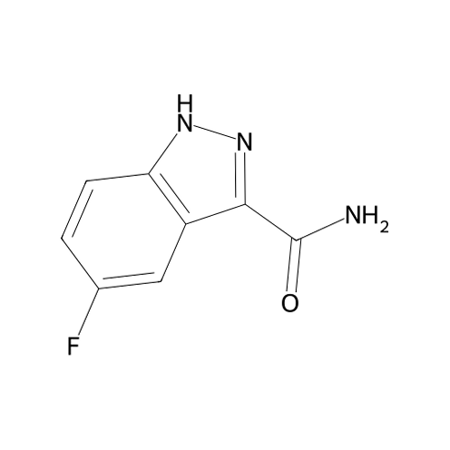 NC(=O)c1n[nH]c2ccc(F)cc12